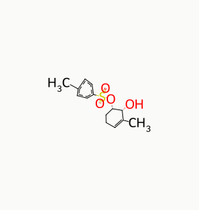 CC1=CCC[C@H](OS(=O)(=O)c2ccc(C)cc2)[C@@H]1O